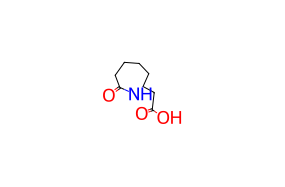 O=C(O)CC1CCCCC(=O)N1